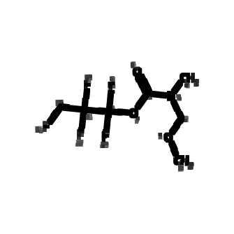 COCN(C)C(=O)OC(F)(F)C(F)(F)CF